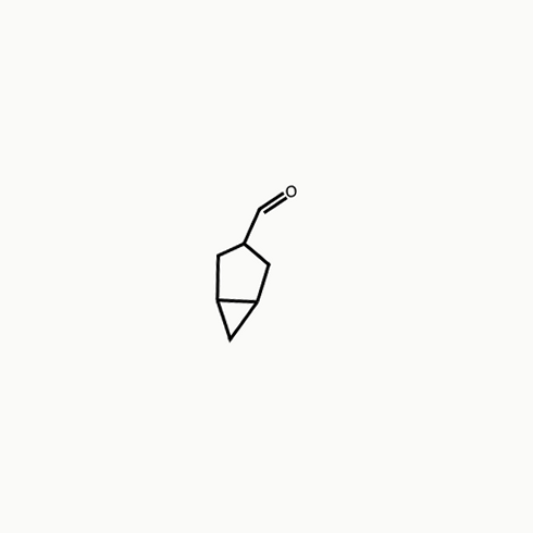 O=CC1CC2CC2C1